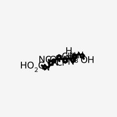 Cc1c(Nc2nccc3cc(CN4CCC(O)C4)cnc23)cccc1-c1cccc(-c2nc3cc(CN4CCC(C(=O)O)C4)cc(C#N)c3o2)c1Cl